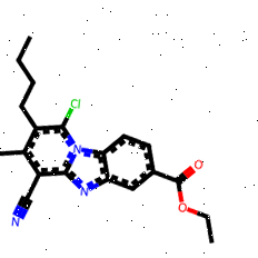 CCCCc1c(C)c(C#N)c2nc3cc(C(=O)OCC)ccc3n2c1Cl